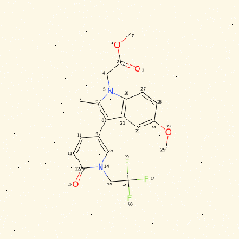 COC(=O)Cn1c(C)c(-c2ccc(=O)n(CC(F)(F)F)c2)c2cc(OC)ccc21